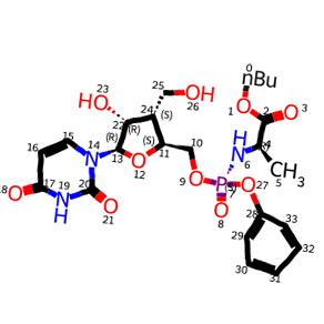 CCCCOC(=O)[C@@H](C)N[P@](=O)(OC[C@H]1O[C@@H](n2ccc(=O)[nH]c2=O)[C@H](O)[C@@H]1CO)Oc1ccccc1